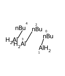 CCC[CH2][AlH2].CCC[CH2][AlH2].CCC[CH2][AlH2]